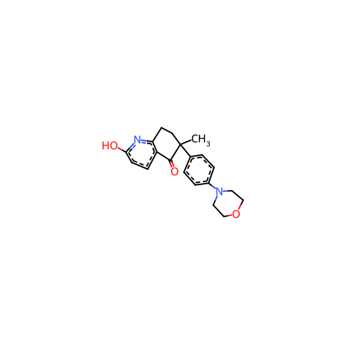 CC1(c2ccc(N3CCOCC3)cc2)CCc2nc(O)ccc2C1=O